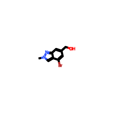 Cn1cc2c(Br)cc(CO)cc2n1